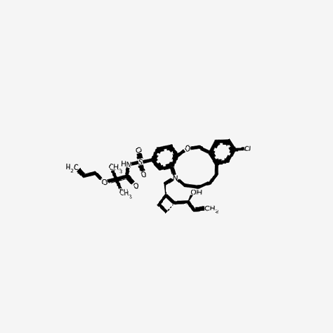 C=CCOC(C)(C)C(=O)NS(=O)(=O)c1ccc2c(c1)N(C[C@@H]1CC[C@H]1[C@@H](O)C=C)CCCCc1cc(Cl)ccc1CO2